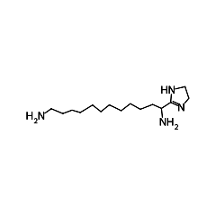 NCCCCCCCCCCCC(N)C1=NCCN1